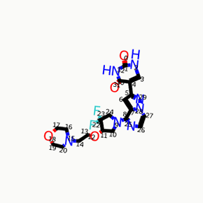 O=c1[nH]cc(-c2cc3c(N4CC(OCCN5CCOCC5)C(F)(F)C4)nccn3n2)c(=O)[nH]1